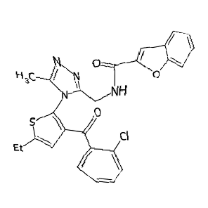 CCc1cc(C(=O)c2ccccc2Cl)c(-n2c(C)nnc2CNC(=O)c2cc3ccccc3o2)s1